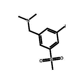 CN(C)Cc1cc(I)cc(S(C)(=O)=O)c1